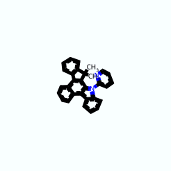 CC1(C)c2ccccc2-c2c1c1c(c3ccccc23)c2ccccc2n1-c1ccccn1